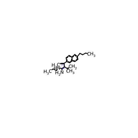 C=C(C)C(/C(=C\C)c1ccc2cc(CCCC)ccc2c1)=C(\N)NCCC